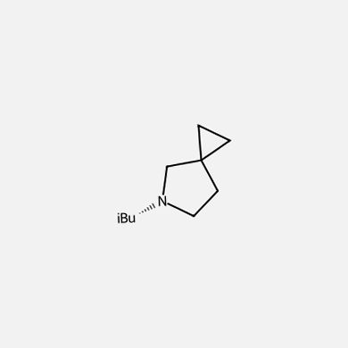 CC[C@@H](C)N1CCC2(CC2)C1